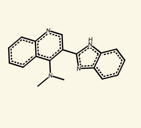 CN(C)c1c(-c2nc3ccccc3[nH]2)cnc2ccccc12